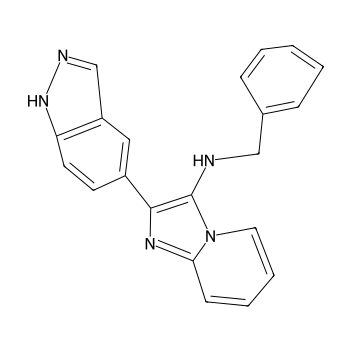 c1ccc(CNc2c(-c3ccc4[nH]ncc4c3)nc3ccccn23)cc1